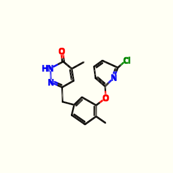 Cc1ccc(Cc2cc(C)c(=O)[nH]n2)cc1Oc1cccc(Cl)n1